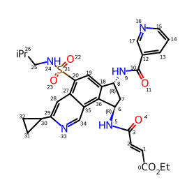 CCOC(=O)C=CC(=O)N[C@@H]1C[C@@H](NC(=O)c2cccnc2)c2cc(S(=O)(=O)NCC(C)C)c3cc(C4CC4)ncc3c21